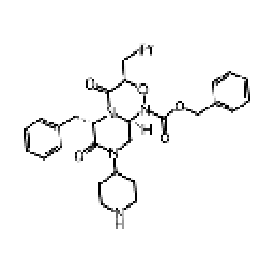 CC(C)C[C@H]1ON(C(=O)OCc2ccccc2)[C@H]2CN(C3CCNCC3)C(=O)[C@H](Cc3ccccc3)N2C1=O